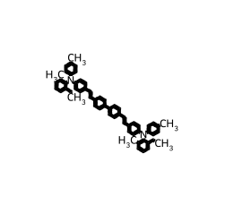 CCc1cccc(C)c1N(c1ccc(C)cc1)c1ccc(C=Cc2ccc(-c3ccc(C=Cc4ccc(N(c5ccc(C)cc5)c5c(C)cccc5CC)cc4)cc3)cc2)cc1